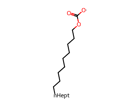 CCCCCCCCCCCCCCCCOC([O])=O